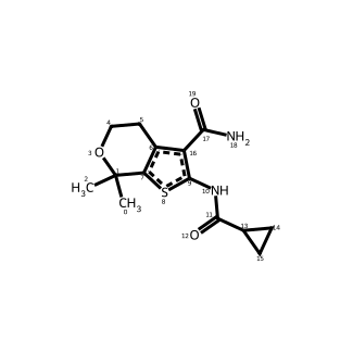 CC1(C)OCCc2c1sc(NC(=O)C1CC1)c2C(N)=O